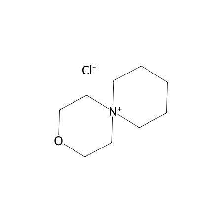 C1CC[N+]2(CC1)CCOCC2.[Cl-]